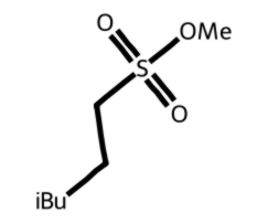 [CH2]OS(=O)(=O)CCC(C)CC